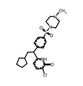 CN1CCN(S(=O)(=O)c2ccc(C(CC3CCCC3)c3ccc(Cl)c(=O)[nH]3)cc2)CC1